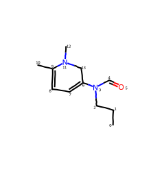 CCCN(C=O)C1=CC=C(C)N(C)C1